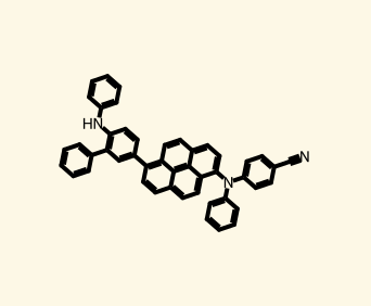 N#Cc1ccc(N(c2ccccc2)c2ccc3ccc4c(-c5ccc(Nc6ccccc6)c(-c6ccccc6)c5)ccc5ccc2c3c54)cc1